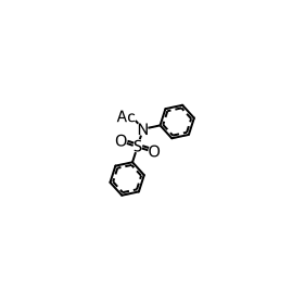 CC(=O)N(c1ccccc1)S(=O)(=O)c1ccccc1